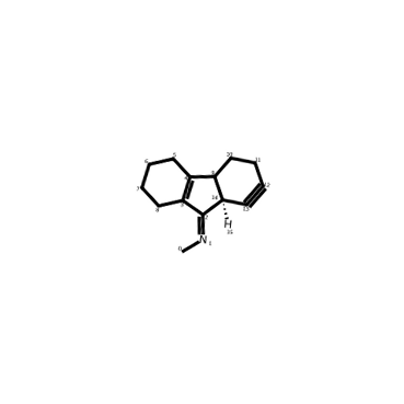 C/N=C1\C2=C(CCCC2)C2CCC#C[C@@H]12